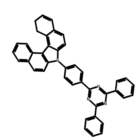 C1=Cc2ccc3c(c2CC1)c1c2ccccc2ccc1n3-c1ccc(-c2nc(-c3ccccc3)nc(-c3ccccc3)n2)cc1